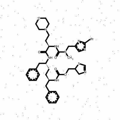 CC(C)c1nc(CN(C)C(=O)N[C@H](CCN2CCOCC2)C(=O)N[C@H](CC[C@H](Cc2ccccc2)NC(=O)OCC2CN=CS2)Cc2ccccc2)cs1